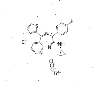 Fc1ccc(C2N=C(c3cccs3)c3cccnc3N=C2NC2CC2)cc1.[Cl-].[Cl-].[Cl-].[Cl-].[Ti+4]